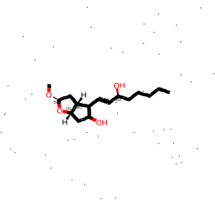 CCCCC[C@H](O)C=CC1C(O)C[C@@H]2O[C@H](OC)C[C@H]12